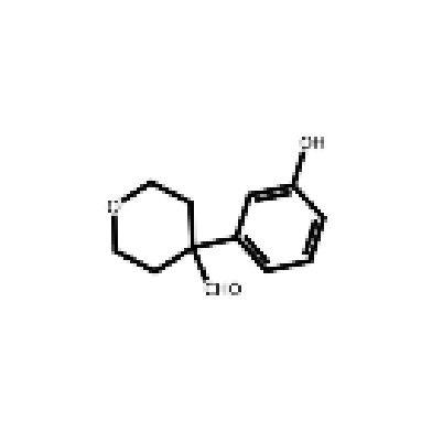 O=CC1(c2cccc(O)c2)CCOCC1